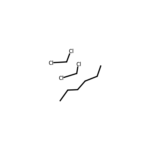 CCCCCC.ClCCl.ClCCl